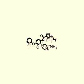 CN1CCN(c2c(NC(=O)c3ccn(CC(F)F)n3)ccc(Oc3ccccc3Cl)c2Cl)C[C@@H]1CN